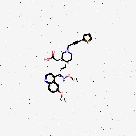 CON[C@@H](CC[C@@H]1CCN(CC#Cc2cccs2)C[C@@H]1CC(=O)O)c1ccnc2ccc(OC)cc12